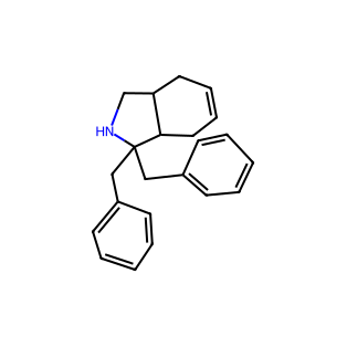 C1=CCC2C(C1)CNC2(Cc1ccccc1)Cc1ccccc1